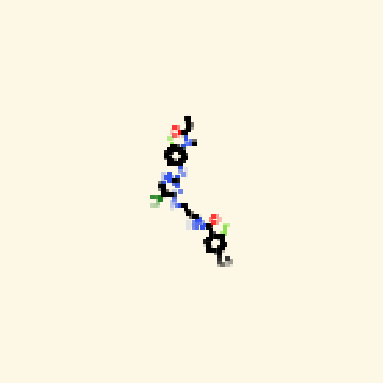 C=CC(=O)N(C)c1cc(Nc2ncc(Cl)c(NCCCNC(=O)c3ccc(C#N)cc3F)n2)ccc1F